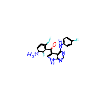 Nc1ccc(F)c(C(=O)c2c[nH]c3ncnc(Nc4ccc(F)cc4)c23)c1F